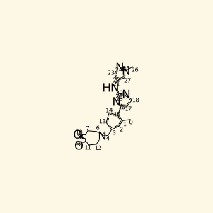 Cc1cc(CN2CCS(=O)(=O)CC2)ccc1-c1ccnc(Nc2cnn(C)c2)n1